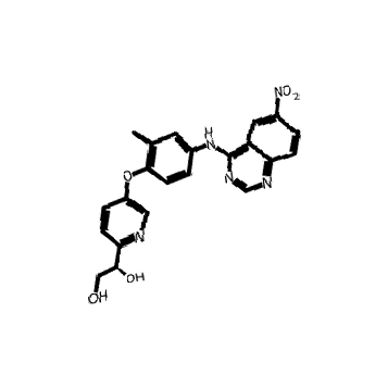 Cc1cc(Nc2ncnc3ccc([N+](=O)[O-])cc23)ccc1Oc1ccc([C@@H](O)CO)nc1